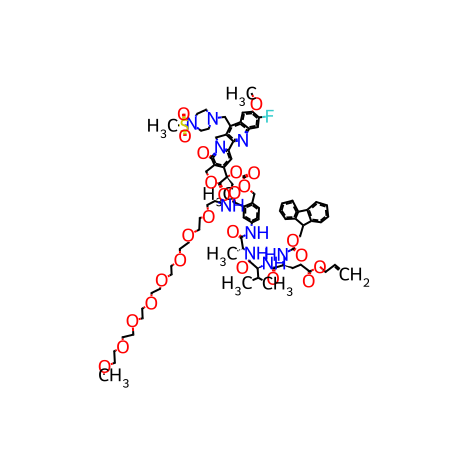 C=CCOC(=O)CC[C@H](NC(=O)OCC1c2ccccc2-c2ccccc21)C(=O)N[C@H](C(=O)N[C@H](C)C(=O)Nc1ccc(COC(=O)O[C@]2(CC)C(=O)OCc3c2cc2n(c3=O)Cc3c-2nc2cc(F)c(OC)cc2c3CN2CCN(S(C)(=O)=O)CC2)c(C(=O)NCCOCCOCCOCCOCCOCCOCCOCCOC)c1)C(C)C